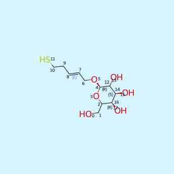 OCC1O[C@@H](OC/C=C/CCS)C(O)[C@@H](O)[C@H]1O